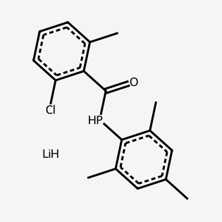 Cc1cc(C)c(PC(=O)c2c(C)cccc2Cl)c(C)c1.[LiH]